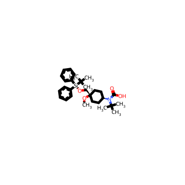 CO[C@]1(CO[Si](c2ccccc2)(c2ccccc2)C(C)(C)C)CC[C@@H](N(C(=O)O)C(C)(C)C)CC1